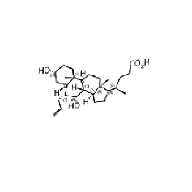 C=CC[C@H]1[C@@H](O)[C@@H]2[C@H](CC[C@]3(C)[C@@H]([C@H](C)CCC(=O)O)CC[C@@H]23)[C@@]2(C)CC[C@@H](O)C[C@@H]12